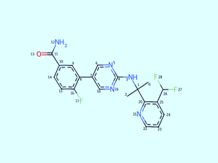 CC(C)(Nc1ncc(-c2cc(C(N)=O)ccc2F)cn1)c1ncccc1C(F)F